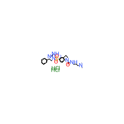 CN(C)CCCNC(=O)N1CCc2cc(S(=O)(=O)N3CC(c4ccccc4)N=C3N)ccc21.Cl.Cl